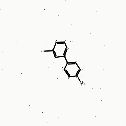 FC(F)(F)c1ccc(-c2cccc(I)c2)cc1